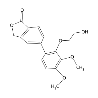 COc1ccc(-c2ccc3c(c2)COC3=O)c(OCCO)c1OC